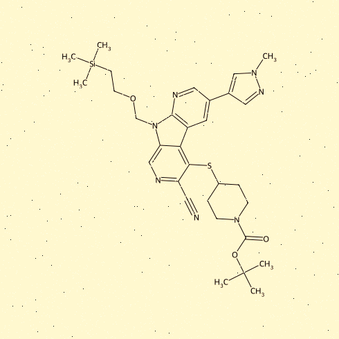 Cn1cc(-c2cnc3c(c2)c2c(SC4CCN(C(=O)OC(C)(C)C)CC4)c(C#N)ncc2n3COCC[Si](C)(C)C)cn1